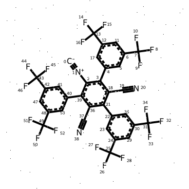 [C-]#[N+]c1c(-c2cc(C(F)(F)F)cc(C(F)(F)F)c2)c(C#N)c(-c2cc(C(F)(F)F)cc(C(F)(F)F)c2)c(C#N)c1-c1cc(C(F)(F)F)cc(C(F)(F)F)c1